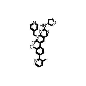 Cc1cccnc1-c1ccc(-c2cc3cnc(N[C@@H]4CCOC4)nc3n(Cc3ccncc3)c2=O)c(Cl)c1